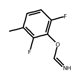 Cc1ccc(F)c(OC=N)c1F